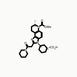 COC(=O)N1c2ccc3c(nc(CC(=O)N4CCCCC4)n3[C@@H]3CCC[C@@H](C(=O)O)C3)c2CC[C@@H]1C